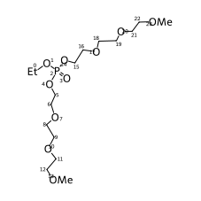 CCOP(=O)(OCCOCCOCCOC)OCCOCCOCCOC